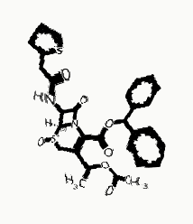 CC(=O)OC(C)C1=C(C(=O)OC(c2ccccc2)c2ccccc2)N2C(=O)C(NC(=O)Cc3cccs3)[C@@H]2[S+]([O-])C1